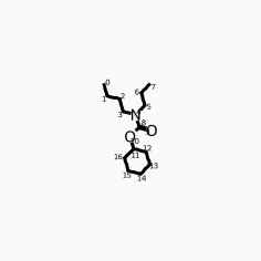 CCCCN(CCC)C(=O)OC1CCCCC1